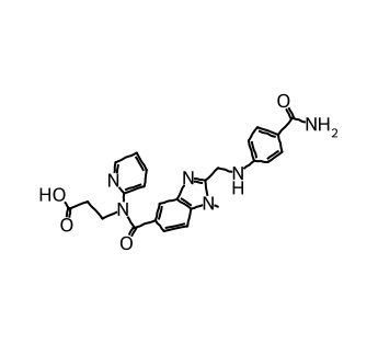 Cn1c(CNc2ccc(C(N)=O)cc2)nc2cc(C(=O)N(CCC(=O)O)c3ccccn3)ccc21